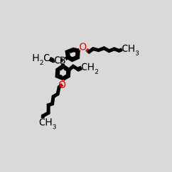 C=CCB(c1ccc(OCCCCCCCC)cc1)c1ccc(OCCCCCCCC)cc1CC=C